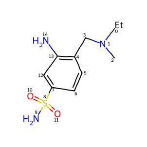 CCN(C)Cc1ccc(S(N)(=O)=O)cc1N